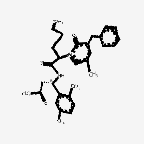 CCCCC(C(=O)N[C@@H](CC(=O)O)c1cc(C)ccc1C)n1cc(C)cc(Cc2ccccc2)c1=O